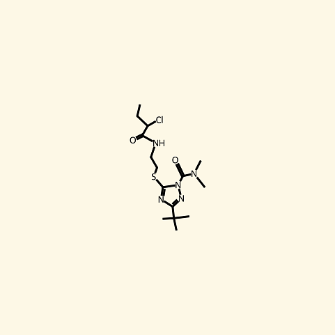 CCC(Cl)C(=O)NCCSc1nc(C(C)(C)C)nn1C(=O)N(C)C